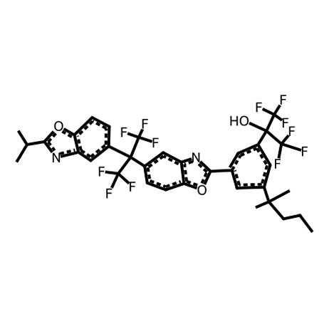 CCCC(C)(C)c1cc(-c2nc3cc(C(c4ccc5oc(C(C)C)nc5c4)(C(F)(F)F)C(F)(F)F)ccc3o2)cc(C(O)(C(F)(F)F)C(F)(F)F)c1